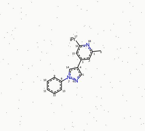 Cc1cc(-c2cnn(-c3ccccc3)c2)cc(C(C)C)n1